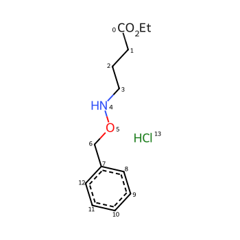 CCOC(=O)CCCNOCc1ccccc1.Cl